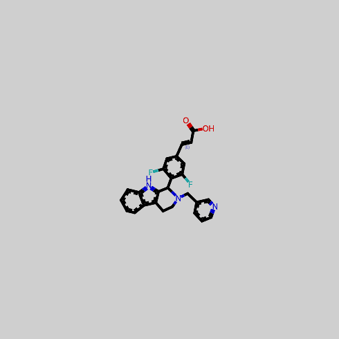 O=C(O)/C=C/c1cc(F)c(C2c3[nH]c4ccccc4c3CCN2Cc2cccnc2)c(F)c1